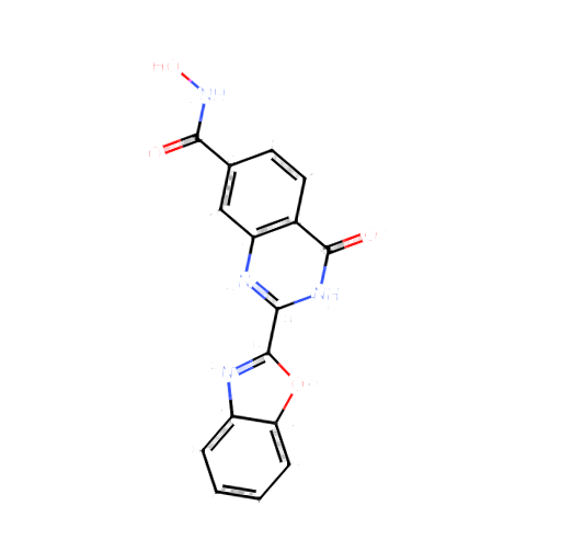 O=C(NO)c1ccc2c(=O)[nH]c(-c3nc4ccccc4o3)nc2c1